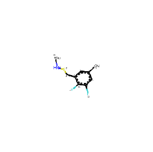 CC(C)(C)NSCc1cc(C#N)cc(F)c1F